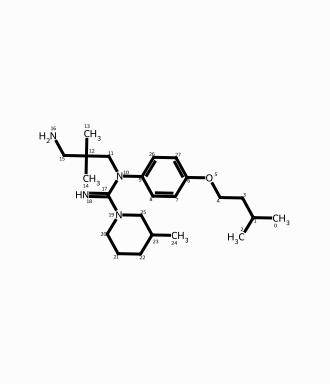 CC(C)CCOc1ccc(N(CC(C)(C)CN)C(=N)N2CCCC(C)C2)cc1